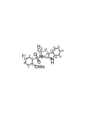 COc1ccc(F)cc1S(=O)(=O)NC(C)Cc1c[nH]c2ccccc12